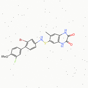 COc1ccc(-c2ccc(NSc3cc4[nH]c(=O)c(=O)[nH]c4cc3C)cc2Br)cc1F